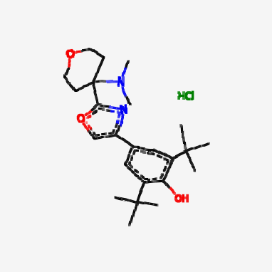 CN(C)C1(c2nc(-c3cc(C(C)(C)C)c(O)c(C(C)(C)C)c3)co2)CCOCC1.Cl